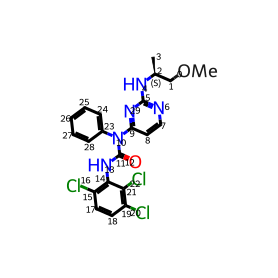 COC[C@H](C)Nc1nccc(N(C(=O)Nc2c(Cl)ccc(Cl)c2Cl)c2ccccc2)n1